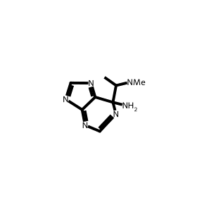 CNC(C)C1(N)N=CN=C2N=CN=C21